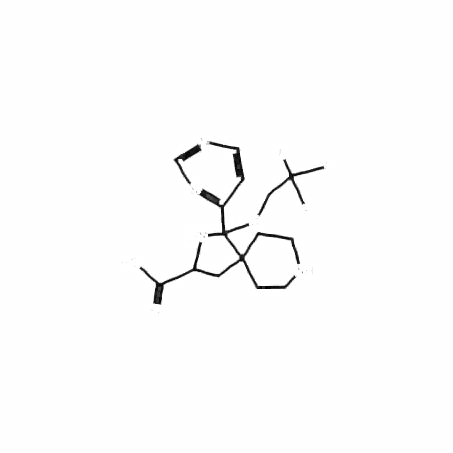 O=C(O)C1CC2(CCNCC2)C(OCC(F)(F)F)(c2ccncn2)N1